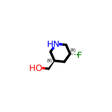 OC[C@H]1CNC[C@H](F)C1